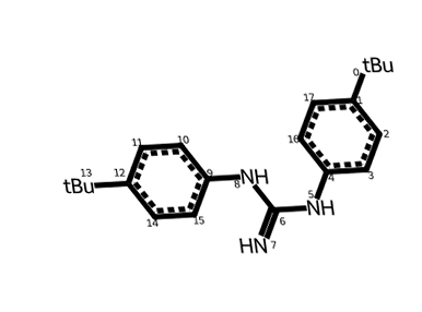 CC(C)(C)c1ccc(NC(=N)Nc2ccc(C(C)(C)C)cc2)cc1